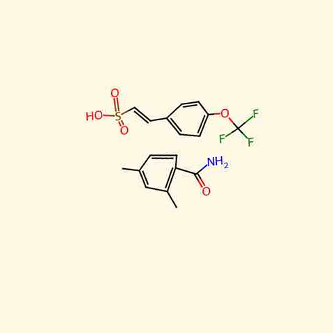 Cc1ccc(C(N)=O)c(C)c1.O=S(=O)(O)C=Cc1ccc(OC(F)(F)F)cc1